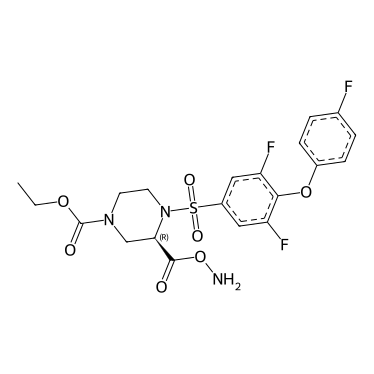 CCOC(=O)N1CCN(S(=O)(=O)c2cc(F)c(Oc3ccc(F)cc3)c(F)c2)[C@@H](C(=O)ON)C1